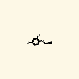 C#CCOc1ccc(Cl)cc1Cl